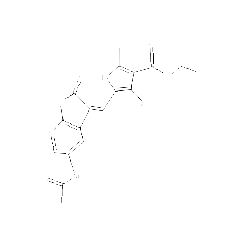 CCOC(=O)c1c(C)[nH]c(C=C2C(=O)Nc3ncc(NC(C)=O)cc32)c1C